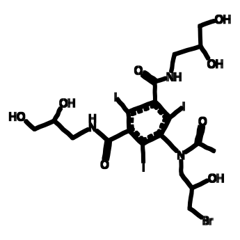 CC(=O)N(CC(O)CBr)c1c(I)c(C(=O)NCC(O)CO)c(I)c(C(=O)NCC(O)CO)c1I